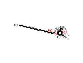 CCCCCCCCCCCCCCCCCCC(O)CC(=O)Oc1cc(C(C)(C)C)c(O)c(C(C)(C)C)c1